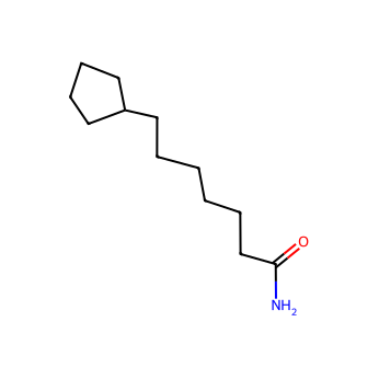 NC(=O)CCCCCCC1CCCC1